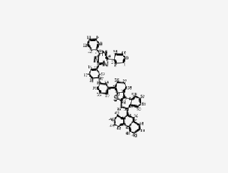 c1ccc(-c2nc(-c3ccccc3)nc(-c3cccc(-c4cccc(-c5cccc6c5sc5cc(-c7cc8ccccc8c8ccccc78)c7ccccc7c56)c4)c3)n2)cc1